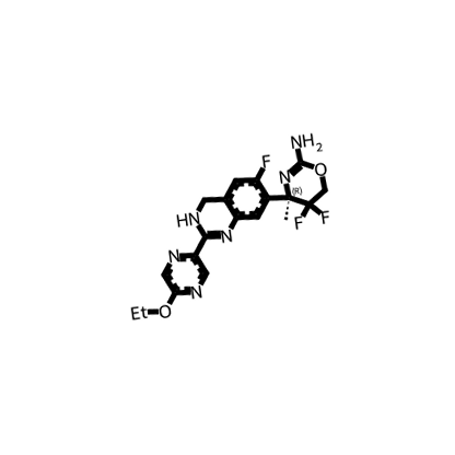 CCOc1cnc(C2=Nc3cc([C@@]4(C)N=C(N)OCC4(F)F)c(F)cc3CN2)cn1